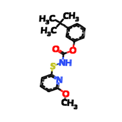 COc1cccc(SNC(=O)Oc2cccc(C(C)(C)C)c2)n1